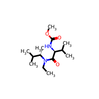 CCN(C(=O)[C@@H](NC(=O)OC)C(C)C)[C@@H](C)C(C)C